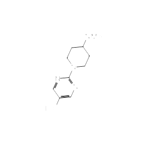 CNC1CCN(c2ncc(C(F)(F)F)cn2)CC1